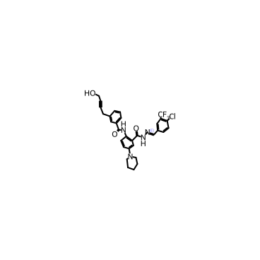 O=C(Nc1ccc(N2CCCCC2)cc1C(=O)N/N=C/c1ccc(Cl)c(C(F)(F)F)c1)c1cccc(CC#CCO)c1